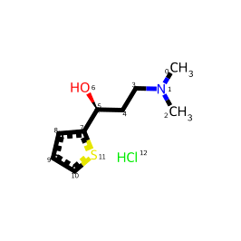 CN(C)CC[C@H](O)c1cccs1.Cl